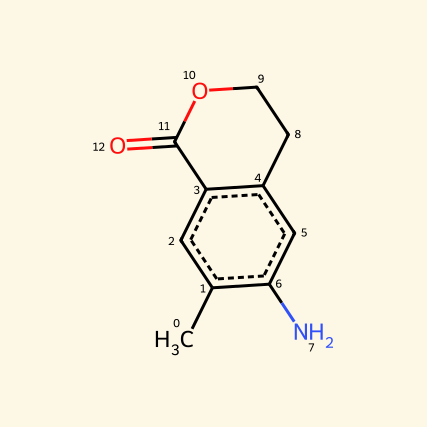 Cc1cc2c(cc1N)CCOC2=O